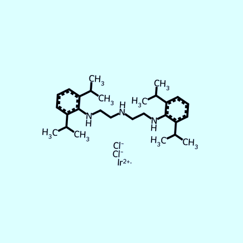 CC(C)c1cccc(C(C)C)c1NCCNCCNc1c(C(C)C)cccc1C(C)C.[Cl-].[Cl-].[Ir+2]